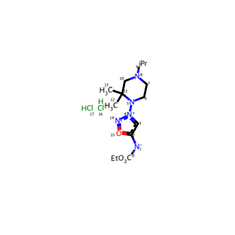 CCOC(=O)[N-]c1c[n+](N2CCN(C(C)C)CC2(C)C)no1.Cl.Cl